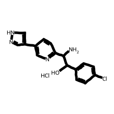 Cl.NC(c1ccc(-c2cn[nH]c2)cn1)C(O)c1ccc(Cl)cc1